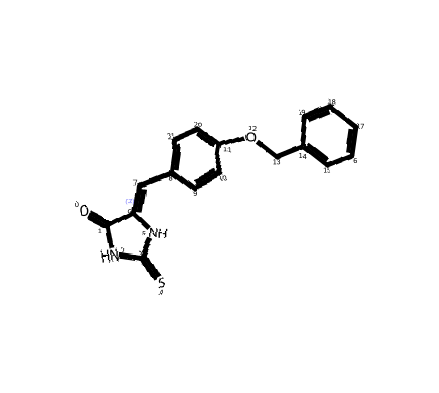 O=C1NC(=S)N/C1=C\c1ccc(OCc2ccccc2)cc1